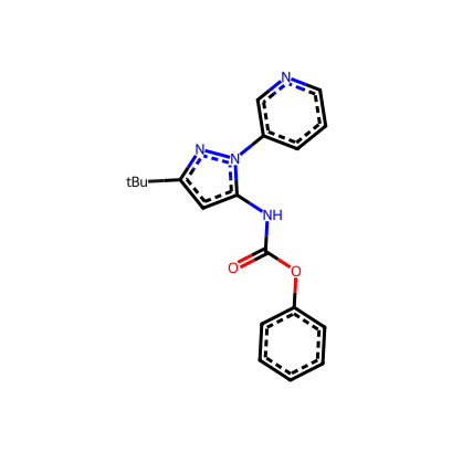 CC(C)(C)c1cc(NC(=O)Oc2ccccc2)n(-c2cccnc2)n1